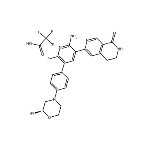 CC(C)[C@H]1CN(c2ccc(-c3cc(-c4cc5c(cn4)C(=O)NCC5)c(N)nc3F)cc2)CCO1.O=C(O)C(F)(F)F